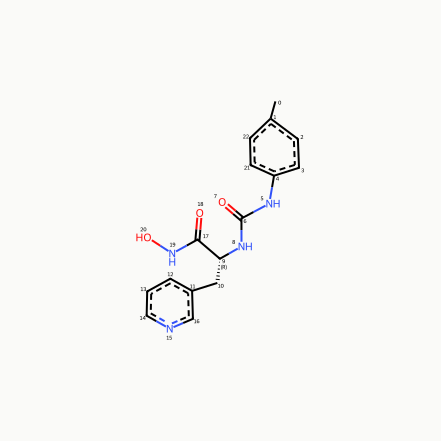 Cc1ccc(NC(=O)N[C@H](Cc2cccnc2)C(=O)NO)cc1